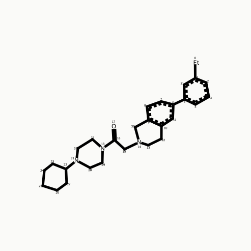 CCc1cccc(-c2ccc3c(c2)CCN(CC(=O)N2CCN(C4CCCCC4)CC2)C3)c1